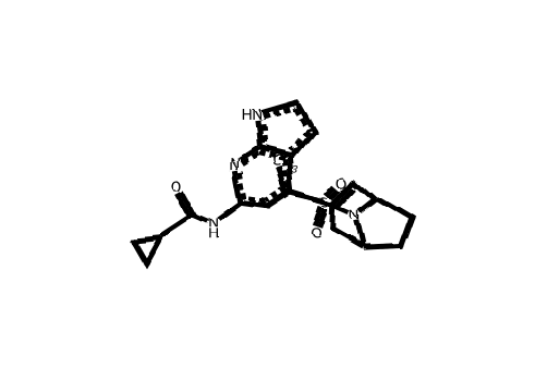 CCS(=O)(=O)N1C2C=C(c3cc(NC(=O)C4CC4)nc4[nH]ccc34)CC1CC2